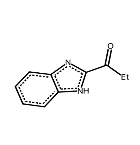 CCC(=O)c1nc2ccccc2[nH]1